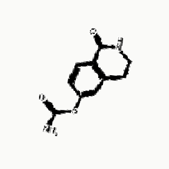 NC(=O)Oc1ccc2c(c1)CCNC2=O